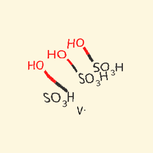 O=S(=O)(O)O.O=S(=O)(O)O.O=S(=O)(O)O.[V]